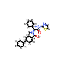 O=C(Nc1nccs1)C(c1ccccc1)N1Cc2cc(-c3ccccc3)ccc2C1=O